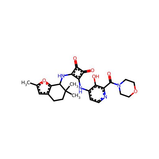 Cc1cc2c(o1)C(Nc1c(Nc3ccnc(C(=O)N4CCOCC4)c3O)c(=O)c1=O)C(C)(C)CC2